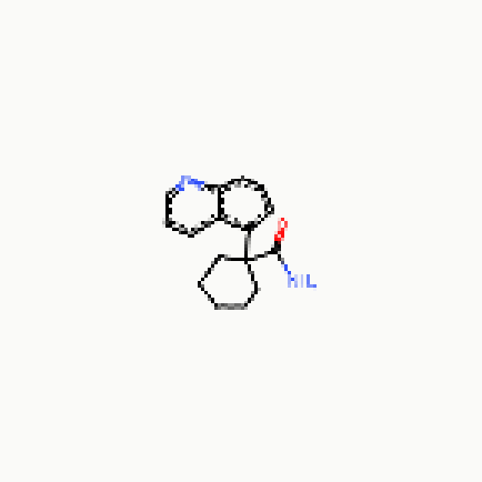 NC(=O)C1(c2cccc3ncccc23)CCCCC1